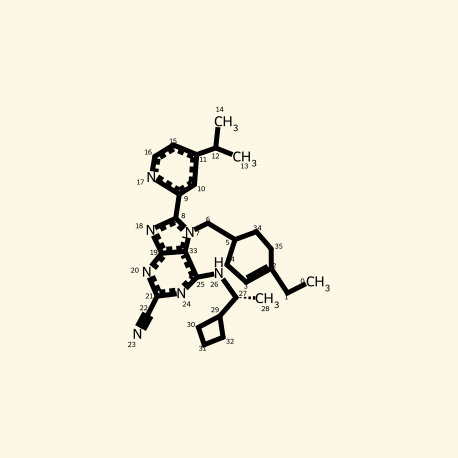 CCC1=CCC(Cn2c(-c3cc(C(C)C)ccn3)nc3nc(C#N)nc(N[C@H](C)C4CCC4)c32)CC1